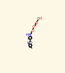 Cc1ccc2nc(-c3ccc(NCCOCCOCCOCCO)cc3)sc2c1